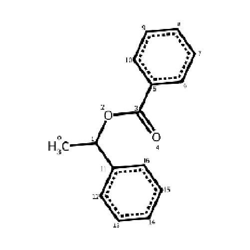 CC(OC(=O)c1ccccc1)c1ccccc1